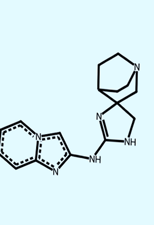 c1ccn2cc(NC3=NC4(CN3)CN3CCC4CC3)nc2c1